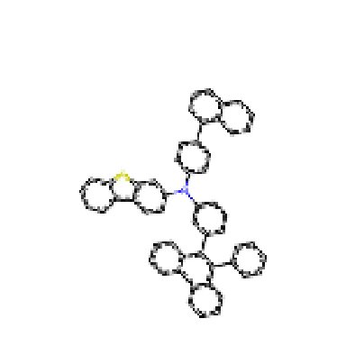 c1ccc(-c2c(-c3cccc(N(c4ccc(-c5cccc6ccccc56)cc4)c4ccc5c(c4)sc4ccccc45)c3)c3ccccc3c3ccccc23)cc1